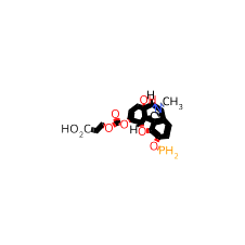 CN1CC[C@@]23c4c5ccc(OP)c4O[C@@H]2C(OC(=O)OCCC(=O)O)=CC[C@]3(O)[C@@H]1C5